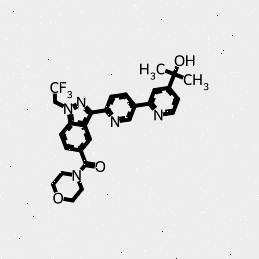 CC(C)(O)c1ccnc(-c2ccc(-c3nn(CC(F)(F)F)c4ccc(C(=O)N5CCOCC5)cc34)nc2)c1